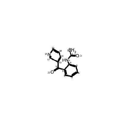 BC(=O)Nc1ccccc1C(=O)c1cccnc1